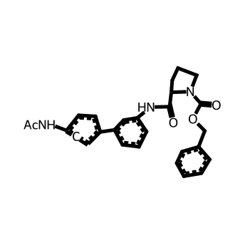 CC(=O)Nc1ccc(-c2cccc(NC(=O)C3CCCN3C(=O)OCc3ccccc3)c2)cc1